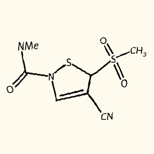 CNC(=O)N1C=C(C#N)C(S(C)(=O)=O)S1